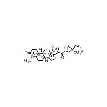 CN1C(=O)CC[C@@]2(C)C1CC[C@@H]1[C@H]2CC[C@]2(C)C(NC(=O)CCC(C)(C)C(=O)O)CC[C@@H]12